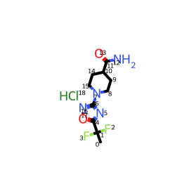 CC(F)(F)c1nc(N2CCC(C(N)=O)CC2)no1.Cl